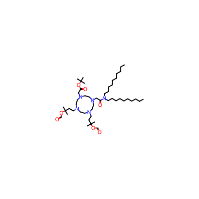 CCCCCCCCCCN(CCCCCCCCCC)C(=O)CN1CCN(CCC(C)(C)OC=O)CCN(CCC(C)(C)OC=O)CCN(CC(=O)OC(C)(C)C)CC1